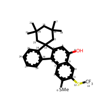 CSc1cc2c3c(cc(O)c2cc1SC(F)(F)F)C1(CC(C)(C)CC(C)(C)C1)c1ccccc1-3